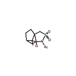 CC(=O)N1[C@@H]2CC3CCC2(CS1(=O)=O)C3(C)C